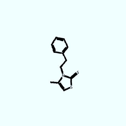 Cc1csc(=S)n1CCc1ccccc1